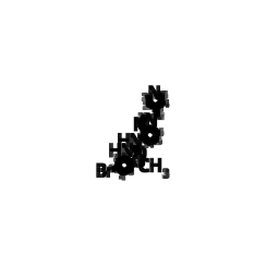 COc1ccc(Br)cc1NC(=O)Nc1cccc2c1ncn2Cc1ccncc1